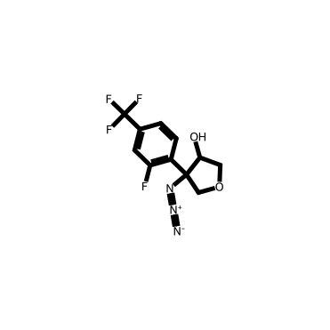 [N-]=[N+]=NC1(c2ccc(C(F)(F)F)cc2F)COCC1O